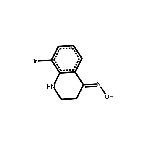 ON=C1CCNc2c(Br)cccc21